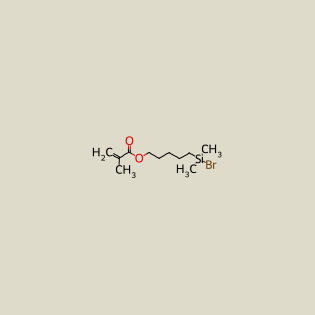 C=C(C)C(=O)OCCCCC[Si](C)(C)Br